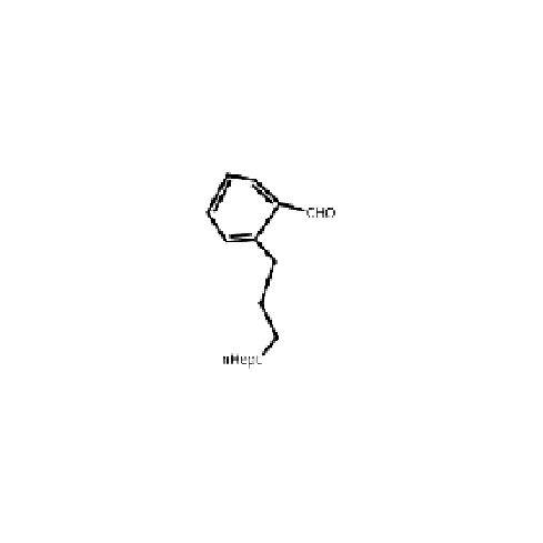 CCCCCCCCCCc1ccccc1C=O